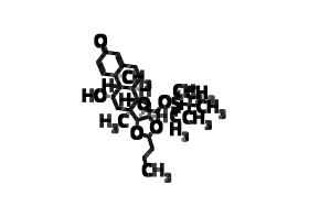 CCCC1O[C@@H]2C[C@H]3[C@@H]4CCC5=CC(=O)C=C[C@]5(C)[C@H]4[C@@H](O)C[C@]3(C)[C@]2(C(=O)CO[Si](C)(C)C(C)(C)C)O1